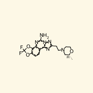 C[C@@H]1CN(CCc2nc3c4ccc5c(c4nc(N)n3n2)OC(F)(F)O5)CCO1